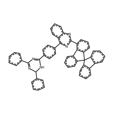 c1ccc(C2=NC(c3ccccc3)NC(c3ccc(-c4nc(-c5cccc6c5-c5ccccc5C65c6ccccc6-c6ccccc65)nc5ccccc45)cc3)=N2)cc1